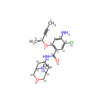 CC#C[C@H](C)Oc1cc(N)c(Cl)cc1C(=O)NC1CC2COCC(C1)N2C